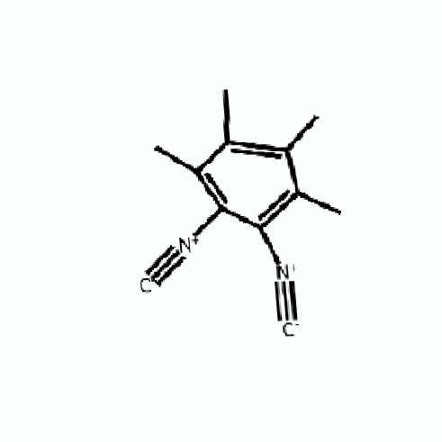 [C-]#[N+]c1c(C)c(C)c(C)c(C)c1[N+]#[C-]